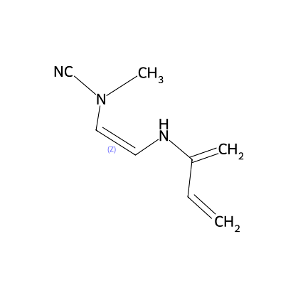 C=CC(=C)N/C=C\N(C)C#N